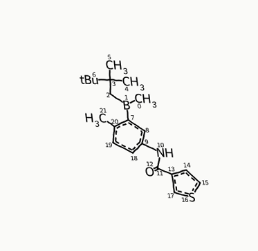 CB(CC(C)(C)C(C)(C)C)c1cc(NC(=O)c2ccsc2)ccc1C